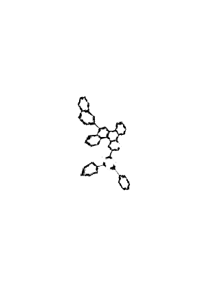 c1ccc(-c2nc(-c3ccccc3)nc(-c3cnc4c5ccccc5c5cc(-c6ccc7ccccc7c6)c6ccccc6c5c4c3)n2)cc1